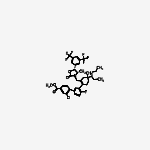 CCC[C@H](CC)C1(C)CCC(c2cc(-c3ccc(C(=O)OC)cc3Cl)ccc2F)=C(CN2C(=O)O[C@H](c3cc(C(F)(F)F)cc(C(F)(F)F)c3)[C@@H]2C)C1